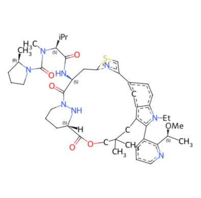 CCn1c(-c2cccnc2[C@H](C)OC)c2c3cc(ccc31)-c1csc(n1)C[C@H](NC(=O)[C@H](C(C)C)N(C)C(=O)N1CCC[C@H]1C)C(=O)N1CCC[C@H](N1)C(=O)OCC(C)(C)C2